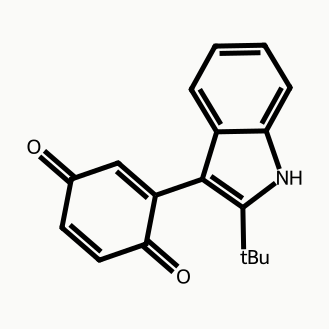 CC(C)(C)c1[nH]c2ccccc2c1C1=CC(=O)C=CC1=O